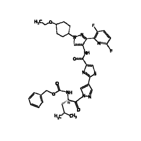 CCOC1CCC(n2cc(NC(=O)c3csc(-c4cnn(C(=O)[C@H](CC(C)C)NC(=O)OCc5ccccc5)c4)n3)c(-c3nc(F)ccc3F)n2)CC1